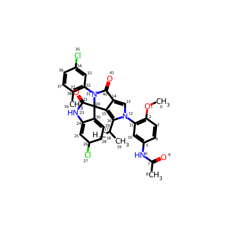 COc1ccc(NC(C)=O)cc1-n1cc2c(c1C(C)C)C1(C(=O)NC3=CC(Cl)CC=C31)N(c1cc(Cl)ccc1C)C2=O